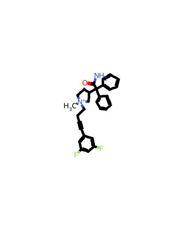 C[N+]1(CCC#Cc2cc(F)cc(F)c2)CCC(C(C(N)=O)(c2ccccc2)c2ccccc2)C1